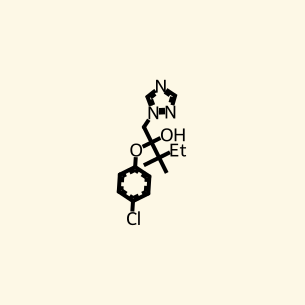 CCC(C)(C)C(O)(Cn1cncn1)Oc1ccc(Cl)cc1